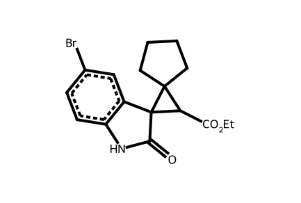 CCOC(=O)C1C2(CCCC2)C12C(=O)Nc1ccc(Br)cc12